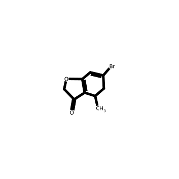 CC1CC(Br)=CC2=C1C(=O)CO2